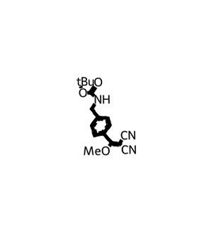 COC(=C(C#N)C#N)c1ccc(CNC(=O)OC(C)(C)C)cc1